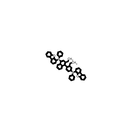 CCc1cc(N(c2ccccc2)c2cccc3c2oc2ccccc23)ccc1-c1c(CC)cc(N(c2ccccc2)c2cccc3c2oc2ccccc23)c2ccccc12